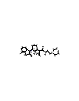 Cc1[nH]c2c(c1C(=O)NCCN1CCOCC1)CCC/C2=C1/C(=O)Nc2c(F)cccc21